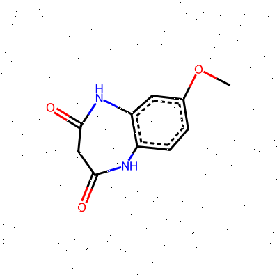 COc1ccc2c(c1)NC(=O)CC(=O)N2